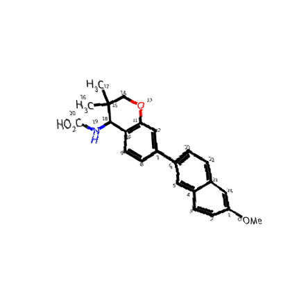 COc1ccc2cc(-c3ccc4c(c3)OCC(C)(C)C4NC(=O)O)ccc2c1